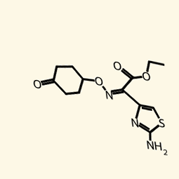 CCOC(=O)/C(=N\OC1CCC(=O)CC1)c1csc(N)n1